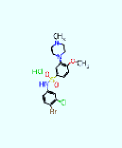 COc1ccc(S(=O)(=O)Nc2ccc(Br)c(Cl)c2)cc1N1CCN(C)CC1.Cl